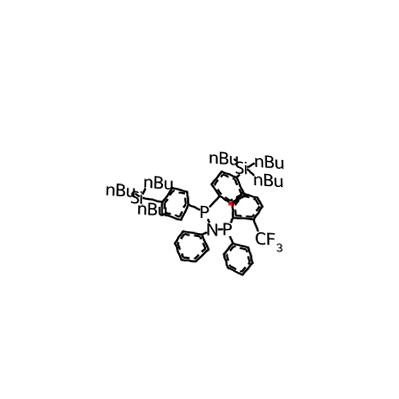 CCCC[Si](CCCC)(CCCC)c1ccc(P(c2ccc([Si](CCCC)(CCCC)CCCC)cc2)N(c2ccccc2)P(c2ccccc2)c2ccccc2C(F)(F)F)cc1